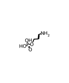 NC=CCOP(=O)(O)O